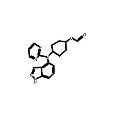 O=COC1CCC(N(c2ncccn2)c2cccc3[nH]ncc23)CC1